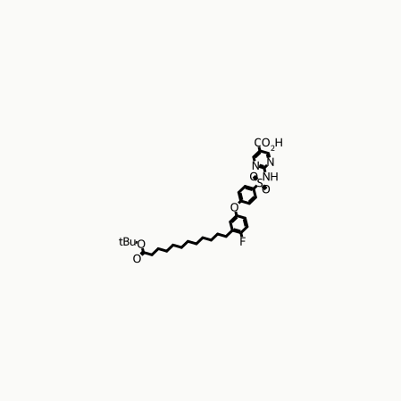 CC(C)(C)OC(=O)CCCCCCCCCCCc1cc(Oc2ccc(S(=O)(=O)Nc3ncc(C(=O)O)cn3)cc2)ccc1F